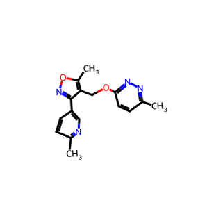 Cc1ccc(-c2noc(C)c2COc2ccc(C)nn2)cn1